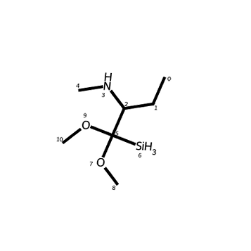 CCC(NC)C([SiH3])(OC)OC